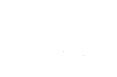 CN(Cc1ccc(O)c(O)c1)C(=O)NCCc1ccc(Cl)cc1